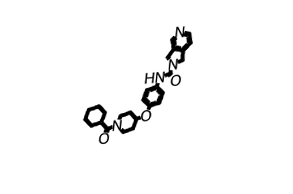 O=C(Nc1ccc(OC2CCN(C(=O)C3CCCCC3)CC2)cc1)N1Cc2ccncc2C1